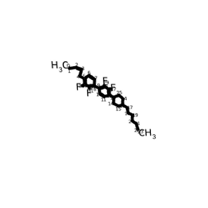 CC/C=C\Cc1ccc(-c2ccc(C3CCC(CCCCCCC)CC3)c(F)c2F)c(F)c1F